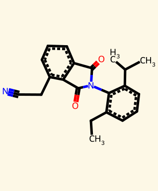 CCc1cccc(C(C)C)c1N1C(=O)c2cccc(CC#N)c2C1=O